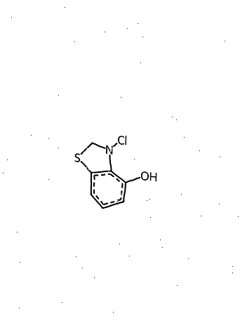 Oc1cccc2c1N(Cl)CS2